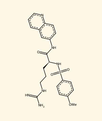 COc1ccc(S(=O)(=O)N[C@@H](CCCNC(=N)N)C(=O)Nc2ccc3ncccc3c2)cc1